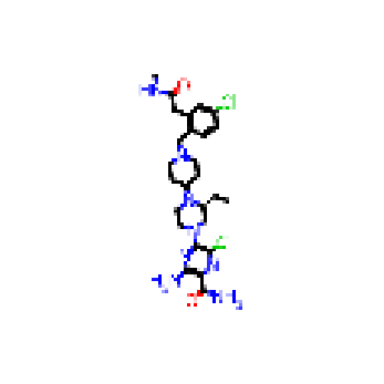 CC[C@H]1CN(c2nc(N)c(C(N)=O)nc2Cl)CCN1C1CCN(Cc2ccc(Cl)cc2CC(=O)NC)CC1